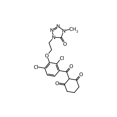 Cn1nnn(CCOc2c(Cl)ccc(C(=O)C3C(=O)CCCC3=O)c2Cl)c1=O